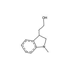 CN1CC(CCO)c2ccccc21